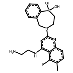 Cc1ccc2nc(N3CCS(O)(O)c4ccccc4C3)cc(NCCN)c2c1F